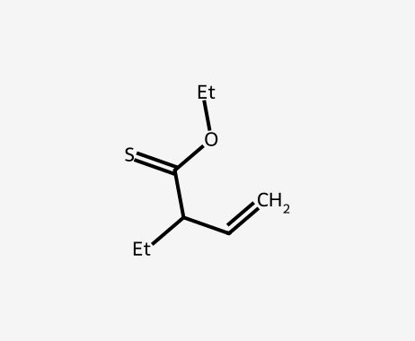 C=CC(CC)C(=S)OCC